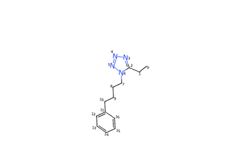 CCc1nnnn1CCCCc1ccccc1